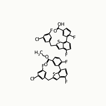 CCOC(=O)c1ccc(F)c(-c2ccc(F)c3cc(Cc4cc(F)cc(Cl)c4)sc23)c1.O=C(O)c1ccc(F)c(-c2ccc(F)c3cc(Cc4cc(F)cc(Cl)c4)sc23)c1